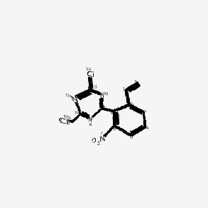 C=Cc1cccc([N+](=O)[O-])c1-c1nc(Cl)nc(Cl)n1